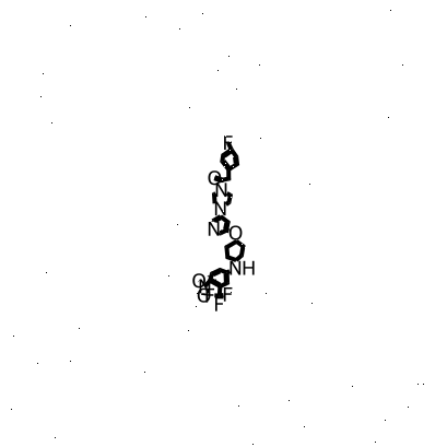 O=C(Cc1ccc(F)cc1)N1CCN(c2cncc(OC3CCC(Nc4ccc([N+](=O)[O-])c(C(F)(F)F)c4)CC3)c2)CC1